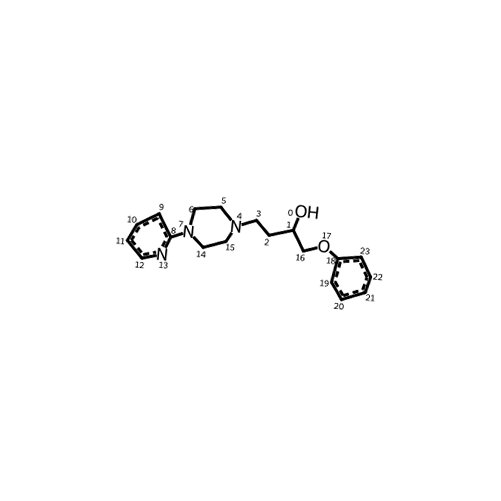 OC(CCN1CCN(c2ccccn2)CC1)COc1ccccc1